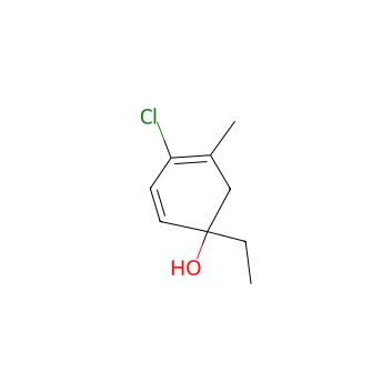 CCC1(O)C=CC(Cl)=C(C)C1